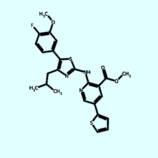 COC(=O)c1cc(-c2cccs2)cnc1Nc1nc(CC(C)C)c(-c2ccc(F)c(OC)c2)s1